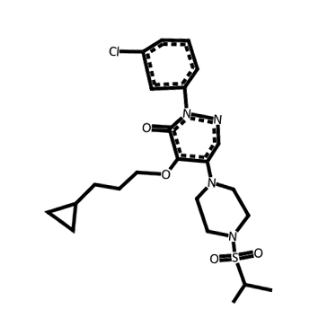 CC(C)S(=O)(=O)N1CCN(c2cnn(-c3cccc(Cl)c3)c(=O)c2OCCCC2CC2)CC1